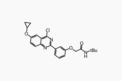 CC(C)(C)NC(=O)COc1cccc(-c2nc(Cl)c3cc(OC4CC4)ccc3n2)c1